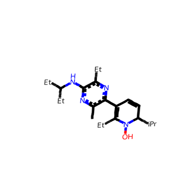 CCC1=C(c2nc(CC)c(NC(CC)CC)nc2C)C=CC(C(C)C)N1O